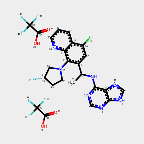 CC(Nc1ncnc2[nH]cnc12)c1cc(Cl)c2cccnc2c1N1CC[C@H](F)C1.O=C(O)C(F)(F)F.O=C(O)C(F)(F)F